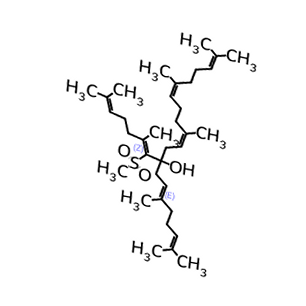 CC(C)=CCCC(C)=CCCC(C)=CCC(O)(C/C=C(\C)CCC=C(C)C)/C(=C(\C)CCC=C(C)C)S(C)(=O)=O